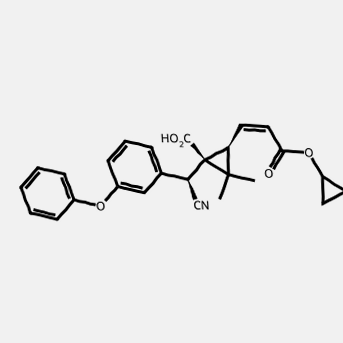 CC1(C)[C@H](/C=C\C(=O)OC2CC2)[C@@]1(C(=O)O)[C@@H](C#N)c1cccc(Oc2ccccc2)c1